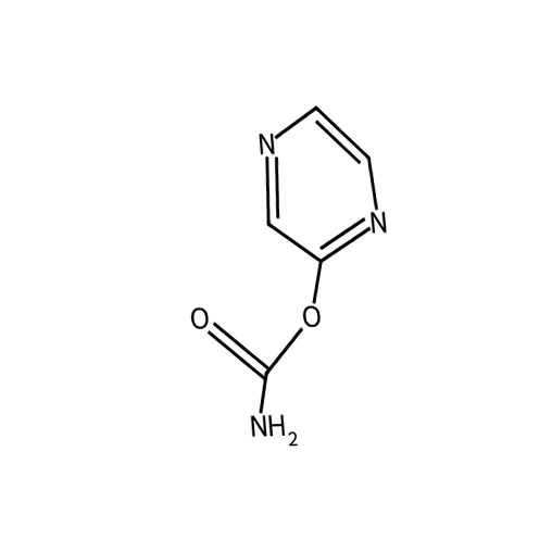 NC(=O)Oc1cnccn1